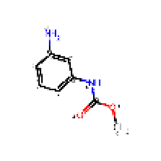 COC(=O)Nc1cccc(N)c1